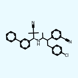 CC(N[C@@H](c1cccc(-c2ccccc2)c1)C(C)(C)C#N)C(Cc1ccc(Cl)cc1)c1cccc(C#N)c1